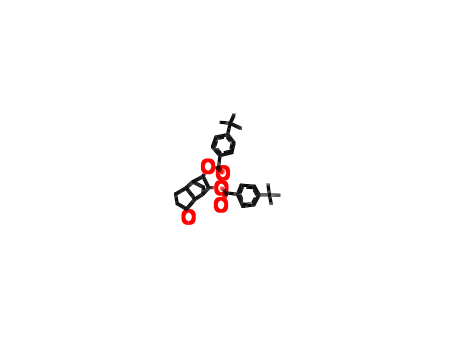 CC(C)(C)c1ccc(C(=O)OC2C3CC(C2OC(=O)c2ccc(C(C)(C)C)cc2)C2C(=O)CCC32)cc1